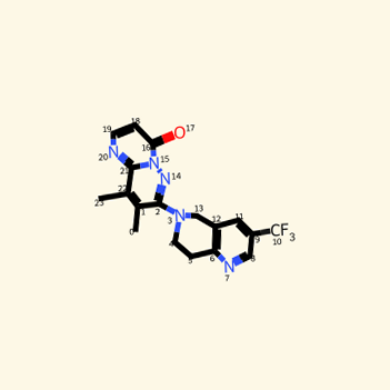 Cc1c(N2CCc3ncc(C(F)(F)F)cc3C2)nn2c(=O)ccnc2c1C